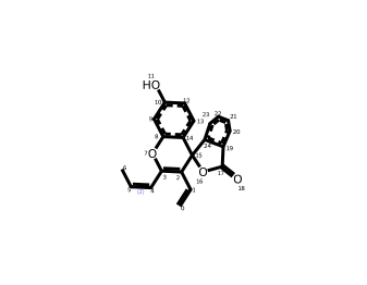 C=CC1=C(/C=C\C)Oc2cc(O)ccc2C12OC(=O)c1ccccc12